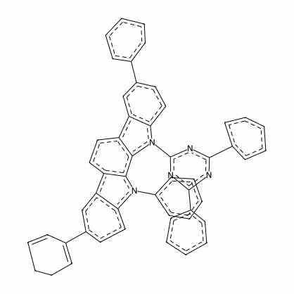 C1=CC(c2ccc3c(c2)c2ccc4c5cc(-c6ccccc6)ccc5n(-c5nc(-c6ccccc6)nc(-c6ccccc6)n5)c4c2n3-c2ccccc2)=CCC1